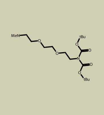 CNCCOCCOCCN(C(=O)OC(C)(C)C)C(=O)OC(C)(C)C